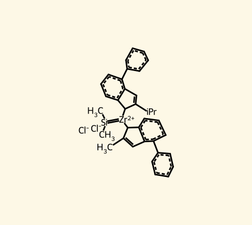 CC1=Cc2c(-c3ccccc3)cccc2[CH]1[Zr+2]([CH]1C(C(C)C)=Cc2c(-c3ccccc3)cccc21)=[Si](C)C.[Cl-].[Cl-]